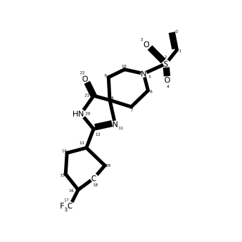 C=CS(=O)(=O)N1CCC2(CC1)N=C(C1CCC(C(F)(F)F)CC1)NC2=O